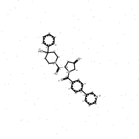 O=C1C[C@@H](C(=O)N2CCC(O)(c3ccccc3)CC2)N(C(=O)c2ccc(-c3cccnc3)cc2)C1